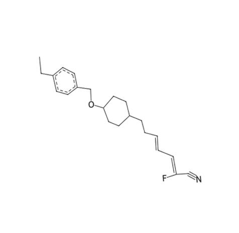 CCc1ccc(COC2CCC(CCC=CC=C(F)C#N)CC2)cc1